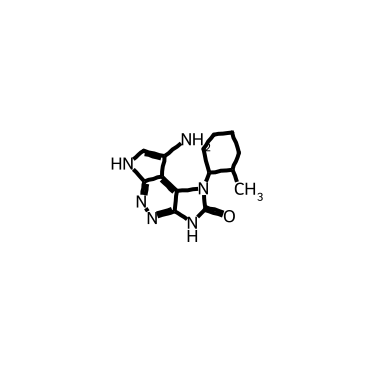 CC1CCCCC1n1c(=O)[nH]c2nnc3[nH]cc(N)c3c21